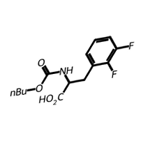 CCCCOC(=O)NC(Cc1cccc(F)c1F)C(=O)O